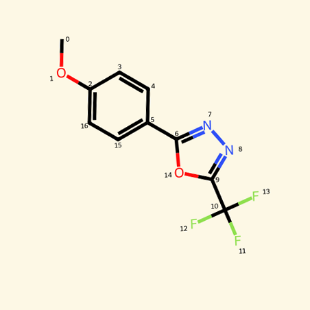 COc1ccc(-c2nnc(C(F)(F)F)o2)cc1